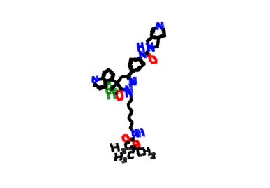 CC(C)(C)OC(=O)NCCCCCCN1N=C(c2ccc(NC(=O)N3Cc4ccncc4C3)cc2)CC(c2cccc3ncccc23)(C(F)(F)F)C1=O